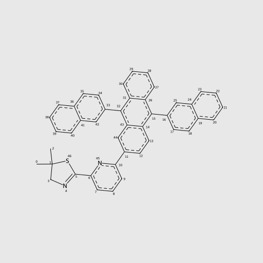 CC1(C)CN=C(c2cccc(-c3ccc4c(-c5ccc6ccccc6c5)c5ccccc5c(-c5ccc6ccccc6c5)c4c3)n2)S1